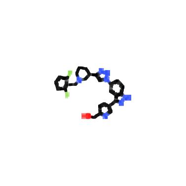 OCc1ccc(-c2n[nH]c3ccc(-n4cc([C@@H]5CCCN(Cc6c(F)cccc6F)C5)nn4)cc23)cn1